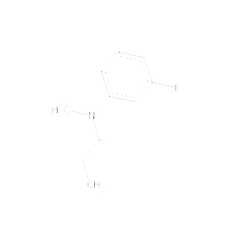 [CH2]CCN(C)c1cccc(F)c1